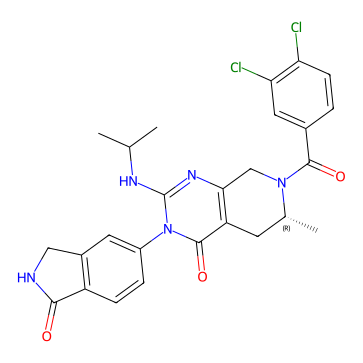 CC(C)Nc1nc2c(c(=O)n1-c1ccc3c(c1)CNC3=O)C[C@@H](C)N(C(=O)c1ccc(Cl)c(Cl)c1)C2